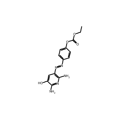 CCOC(=O)Oc1ccc(/N=N/c2cc(O)c(N)nc2N)cc1